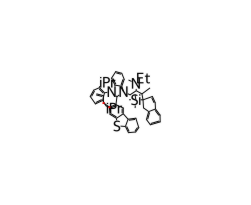 C=CCc1cc2sc3ccccc3c2cc1C1N(CC(C(C)C2([Si](C)(C)C)C=Cc3ccccc3C2)N(C)CC)c2ccccc2N1c1c(C(C)C)cccc1C(C)C